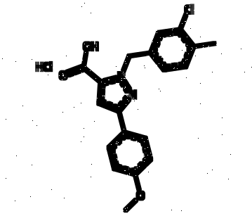 COc1ccc(-c2cc(C(=O)O)n(Cc3ccc(C)c(Cl)c3)n2)cc1.Cl